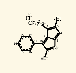 CCC1=NC2=CC(CC)=[C]([Zr+2])C2=C1c1ccccc1.[Cl-].[Cl-]